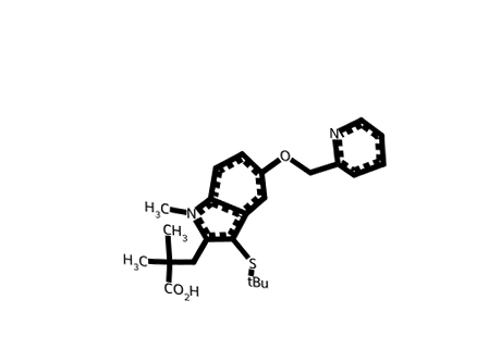 Cn1c(CC(C)(C)C(=O)O)c(SC(C)(C)C)c2cc(OCc3ccccn3)ccc21